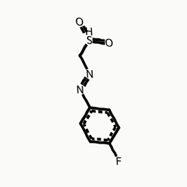 O=[SH](=O)CN=Nc1ccc(F)cc1